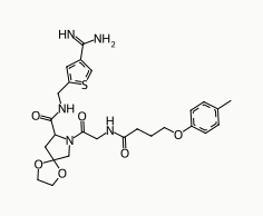 Cc1ccc(OCCCC(=O)NCC(=O)N2CC3(CC2C(=O)NCc2cc(C(=N)N)cs2)OCCO3)cc1